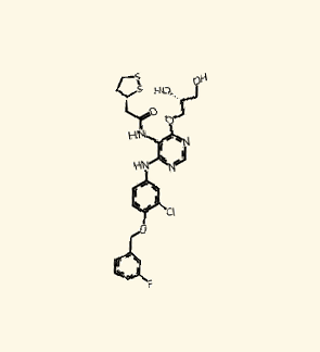 O=C(C[C@H]1CCSS1)Nc1c(Nc2ccc(OCc3cccc(F)c3)c(Cl)c2)ncnc1OC[C@H](O)CO